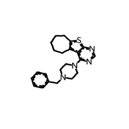 c1ccc(CN2CCN(c3ncnc4sc5c(c34)CCCCC5)CC2)cc1